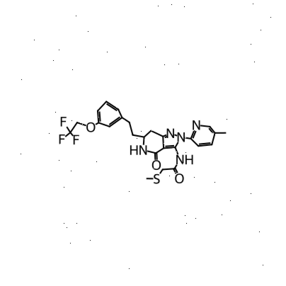 CSCC(=O)Nc1c2c(nn1-c1ccc(C)cn1)CC(CCc1cccc(OCC(F)(F)F)c1)NC2=O